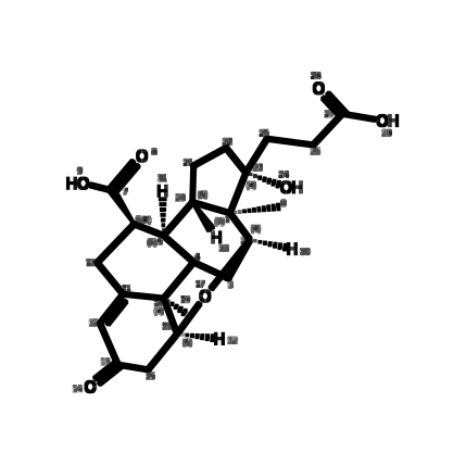 C[C@]12[C@H]3CC4[C@@H]([C@H](C(=O)O)CC5=CC(=O)C[C@H](O3)[C@@]54C)[C@@H]1CC[C@@]2(O)CCC(=O)O